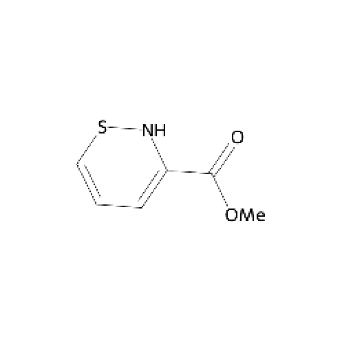 COC(=O)C1=CC=CSN1